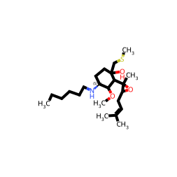 CCCCCCN[C@H]1CCC(O)(CSC)C(C2(C)OC2CC=C(C)C)C1OC